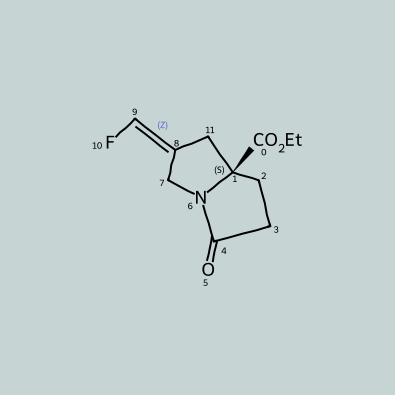 CCOC(=O)[C@@]12CCC(=O)N1C/C(=C\F)C2